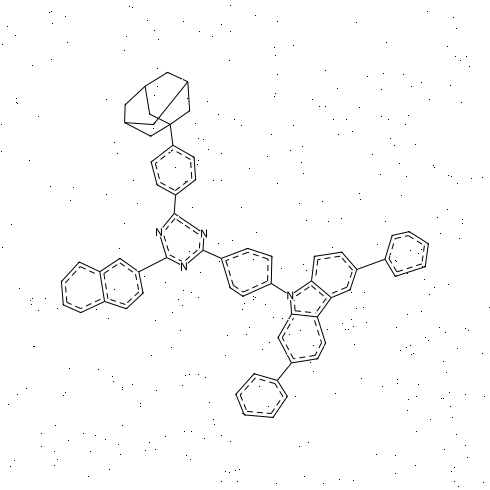 c1ccc(-c2ccc3c(c2)c2ccc(-c4ccccc4)cc2n3-c2ccc(-c3nc(-c4ccc(C56CC7CC(CC(C7)C5)C6)cc4)nc(-c4ccc5ccccc5c4)n3)cc2)cc1